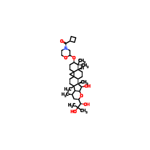 C[C@@H]1CC(C(O)C(C)(C)O)OC2C1C1(C)CCC34CC35CCC(OC3CN(C(=O)C6CCC6)CCO3)C(C)(C)[C@@H]5CCC4[C@]1(C)[C@H]2O